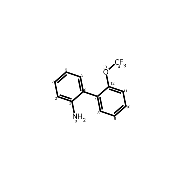 Nc1ccccc1-c1ccccc1OC(F)(F)F